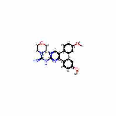 COc1ccc(-c2cnc(NC(=N)N3CCOCC3)nc2-c2ccc(OC)cc2)cc1